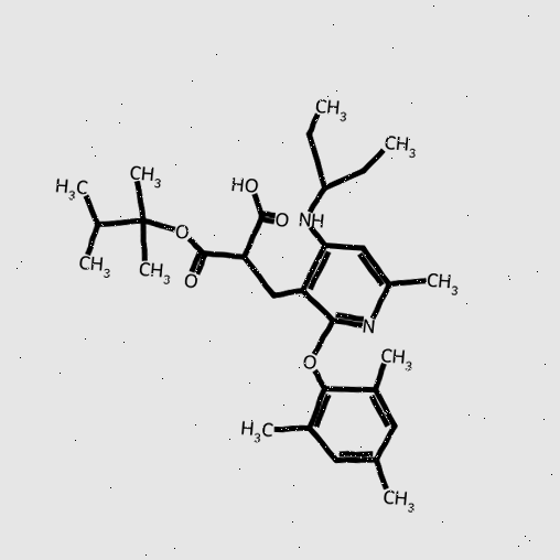 CCC(CC)Nc1cc(C)nc(Oc2c(C)cc(C)cc2C)c1CC(C(=O)O)C(=O)OC(C)(C)C(C)C